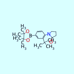 CC(C)(C)c1cc(B2OC(C)(C)C(C)(C)O2)ccc1N1CCCC1=O